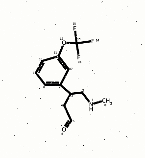 CNCC(CC=O)c1cccc(OC(F)(F)F)c1